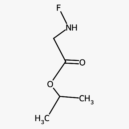 CC(C)OC(=O)CNF